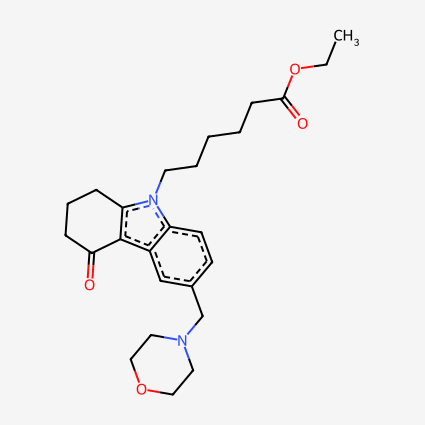 CCOC(=O)CCCCCn1c2c(c3cc(CN4CCOCC4)ccc31)C(=O)CCC2